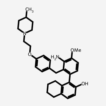 COc1ccc(-c2c(O)ccc3c2CCCC3)c(Cc2ccc(OCCN3CCC(C)CC3)cc2)c1N